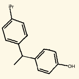 CC(C)c1ccc(C(C)c2ccc(O)cc2)cc1